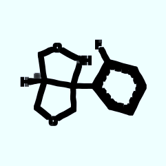 Fc1ccccc1C12COC[C@@H]1CON2